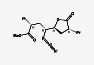 COC(=O)[C@@H](C[C@@H](N=[N+]=[N-])[C@@H]1C[C@@H](C(C)C)C(=O)O1)C(C)C